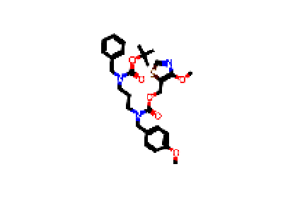 COc1ccc(CN(CCCN(Cc2ccccc2)C(=O)OC(C)(C)C)C(=O)OCc2scnc2OC)cc1